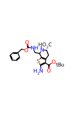 CC(C)(C)OC(=O)c1c(N)sc2c1CCN(C(=O)O)C2CNC(=O)OCc1ccccc1